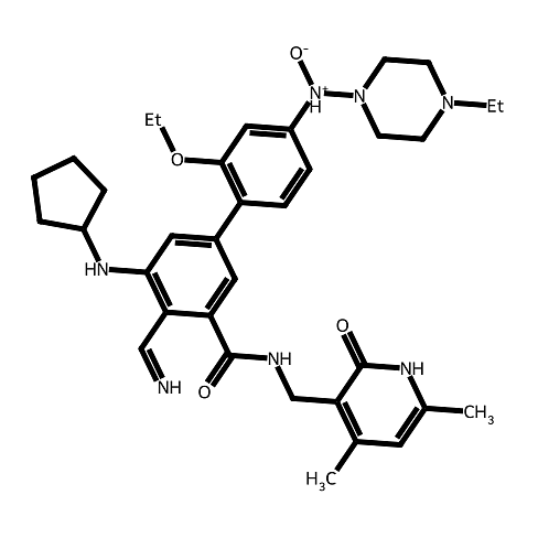 CCOc1cc([NH+]([O-])N2CCN(CC)CC2)ccc1-c1cc(NC2CCCC2)c(C=N)c(C(=O)NCc2c(C)cc(C)[nH]c2=O)c1